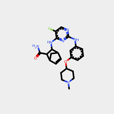 CN1CCC(Oc2cccc(Nc3ncc(F)c(NC4C5C=CC(C5)C4C(N)=O)n3)c2)CC1